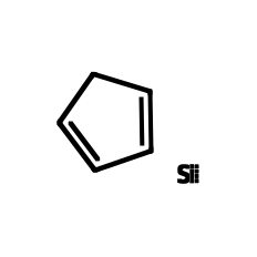 C1=CCC=C1.[Si]